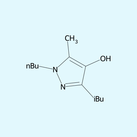 CCCCn1nc(C(C)CC)c(O)c1C